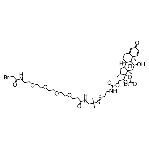 CCC(=O)O[C@]1(C(=O)COC(=O)NCCSSC(C)(C)CNC(=O)CCOCCOCCOCCOCCNC(=O)CBr)[C@@H](C)CC2[C@@H]3CCC4=CC(=O)C=C[C@]4(C)[C@@]3(Cl)[C@@H](O)C[C@@]21C